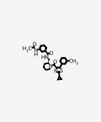 CC(=O)Nc1cccc(C(=O)NC[C@@H]2CCCCN2C(=O)c2nc(C3CC3)sc2-c2cccc(C)c2)c1